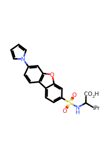 CC(C)C(NS(=O)(=O)c1ccc2c(c1)oc1cc(-n3cccc3)ccc12)C(=O)O